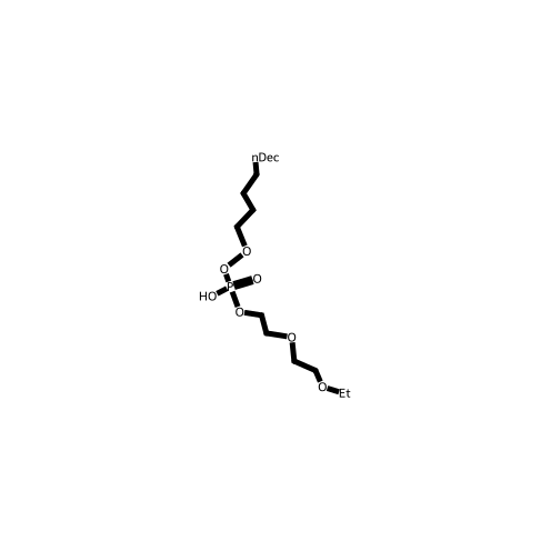 CCCCCCCCCCCCCCOOP(=O)(O)OCCOCCOCC